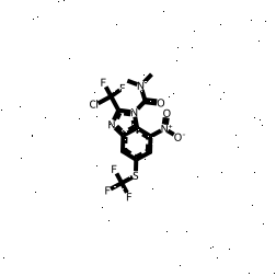 CN(C)C(=O)n1c(C(F)(F)Cl)nc2cc(SC(F)(F)F)cc([N+](=O)[O-])c21